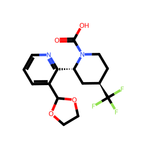 O=C(O)N1CC[C@@H](C(F)(F)F)C[C@@H]1c1ncccc1C1OCCO1